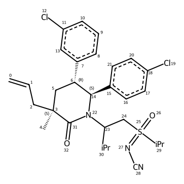 C=CC[C@@]1(C)C[C@H](c2cccc(Cl)c2)[C@@H](c2ccc(Cl)cc2)N(C(CS(=O)(=NC#N)C(C)C)C(C)C)C1=O